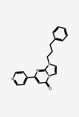 O=c1cc(-c2ccncc2)nc2n(CCCc3ccccc3)ccn12